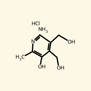 Cc1ncc(CO)c(CO)c1O.Cl.N